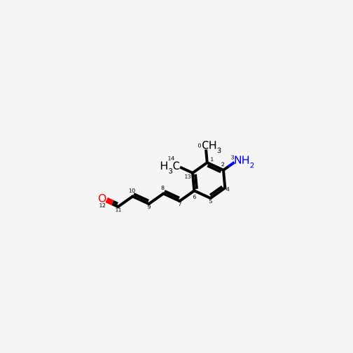 Cc1c(N)ccc(C=CC=CC=O)c1C